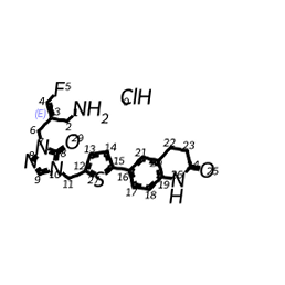 Cl.NC/C(=C\F)Cn1ncn(Cc2ccc(-c3ccc4c(c3)CCC(=O)N4)s2)c1=O